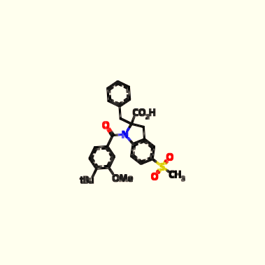 COc1cc(C(=O)N2c3ccc(S(C)(=O)=O)cc3CC2(Cc2ccccc2)C(=O)O)ccc1C(C)(C)C